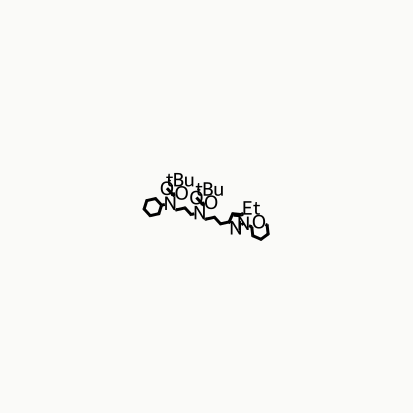 CCc1cc(CCCN(CCCN(C(=O)OC(C)(C)C)C2CCCCC2)C(=O)OC(C)(C)C)nn1C1CCCCO1